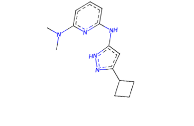 CN(C)c1cccc(Nc2cc(C3CCC3)n[nH]2)n1